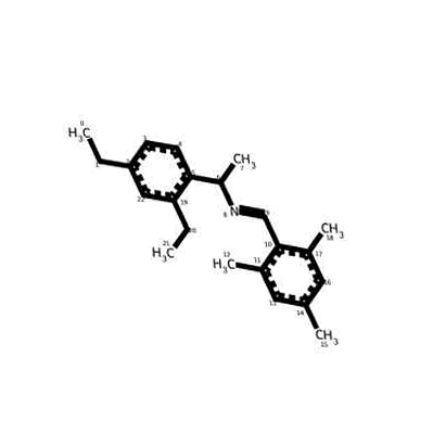 CCc1ccc(C(C)N=Cc2c(C)cc(C)cc2C)c(CC)c1